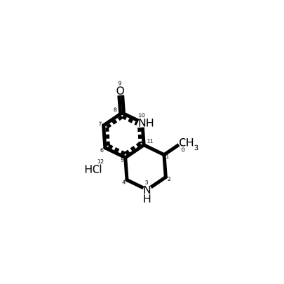 CC1CNCc2ccc(=O)[nH]c21.Cl